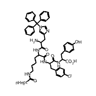 CCCCCCCC(=O)NCCCCC(NC(=O)C(N)Cc1cn(C(c2ccccc2)(c2ccccc2)c2ccccc2)cn1)C(=O)NC(Cc1ccc(Cl)cc1)C(=O)NC(Cc1ccc(O)cc1)C(=O)O